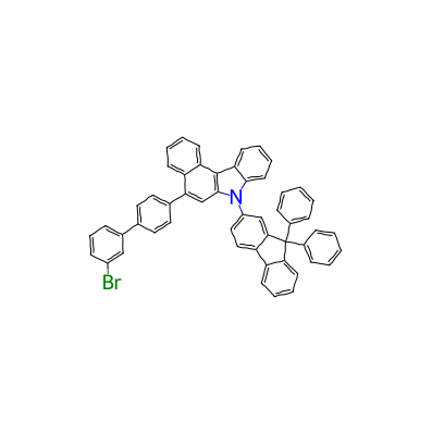 Brc1cccc(-c2ccc(-c3cc4c(c5ccccc35)c3ccccc3n4-c3ccc4c(c3)C(c3ccccc3)(c3ccccc3)c3ccccc3-4)cc2)c1